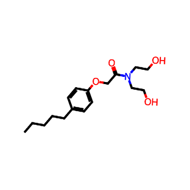 CCCCCc1ccc(OCC(=O)N(CCO)CCO)cc1